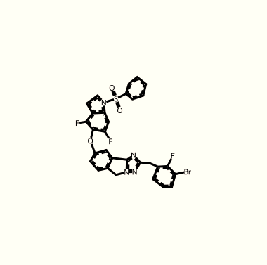 O=S(=O)(c1ccccc1)n1ccc2c(F)c(Oc3ccc4c(c3)-c3nc(Cc5cccc(Br)c5F)nn3C4)c(F)cc21